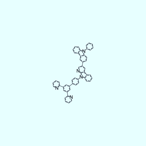 c1ccc(-n2c3ccccc3c3cc(-c4cnc5c(c4)c4ccccc4n5-c4ccc(-c5cc(-c6ccccn6)cc(-c6ccccn6)c5)cc4)ccc32)cc1